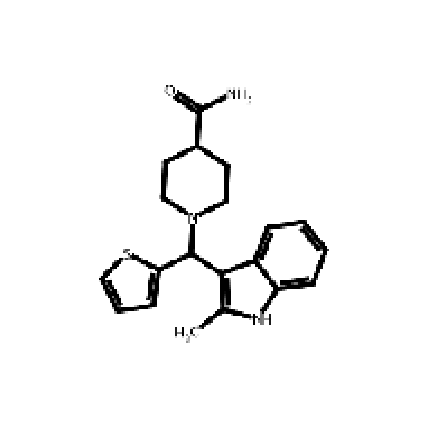 Cc1[nH]c2ccccc2c1C(c1cccs1)N1CCC(C(N)=O)CC1